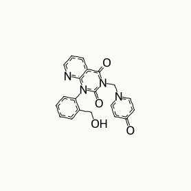 O=c1ccn(Cn2c(=O)c3cccnc3n(-c3ccccc3CO)c2=O)cc1